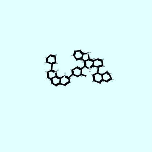 CC1CC(c2ccc3ccc4ccc(-c5ccccc5)nc4c3n2)=CC=C1c1nc2c(C3C=CC=C4C=CC=CC43)cccc2c2oc3ccccc3c12